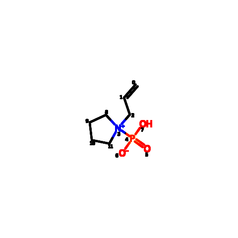 C=CC[N+]1(P(=O)([O-])O)CCCC1